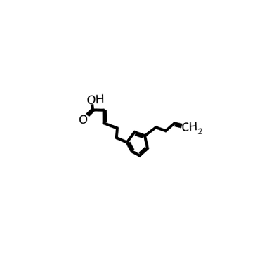 C=CCCc1cccc(CC/C=C/C(=O)O)c1